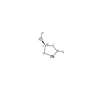 CO[C@@H]1C[N]C(C)C1